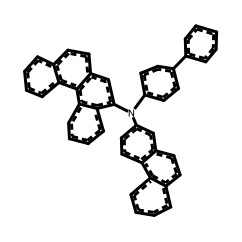 c1ccc(-c2ccc(N(c3ccc4c(ccc5ccccc54)c3)c3cc4ccc5ccccc5c4c4ccccc34)cc2)cc1